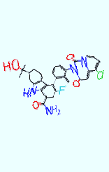 Cc1c(C2=C(F)CC(C(N)=O)c3[nH]c4c(c32)CC[C@H](C(C)(C)O)C4)cccc1-n1c(=O)cc2c(Cl)cccn2c1=O